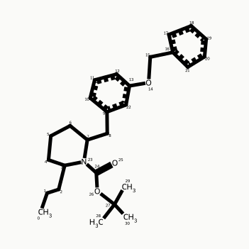 CCCC1CCCC(Cc2cccc(OCc3ccccc3)c2)N1C(=O)OC(C)(C)C